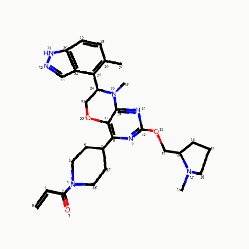 C=CC(=O)N1CCC(c2nc(OCC3CCCN3C)nc3c2OCC(c2c(C)ccc4[nH]ncc24)N3C)CC1